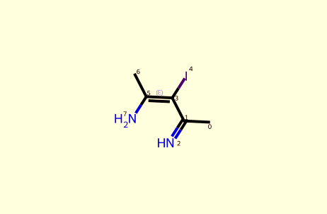 CC(=N)/C(I)=C(/C)N